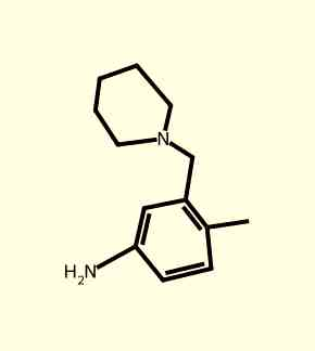 Cc1ccc(N)cc1CN1CCCCC1